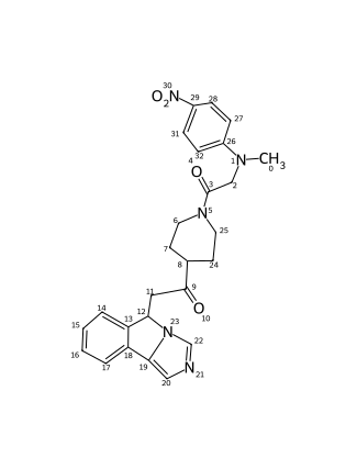 CN(CC(=O)N1CCC(C(=O)CC2c3ccccc3-c3cncn32)CC1)c1ccc([N+](=O)[O-])cc1